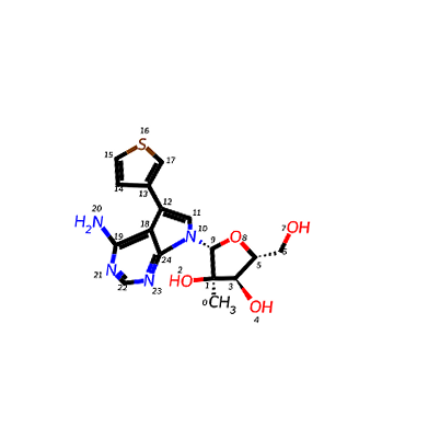 C[C@@]1(O)[C@H](O)[C@@H](CO)O[C@H]1n1cc(-c2ccsc2)c2c(N)ncnc21